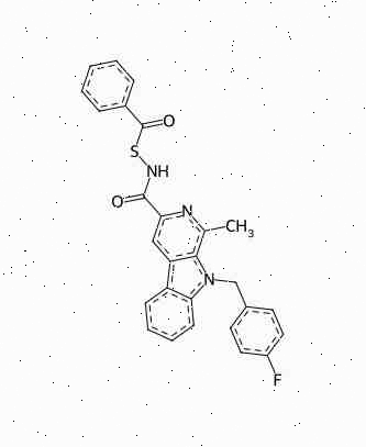 Cc1nc(C(=O)NSC(=O)c2ccccc2)cc2c3ccccc3n(Cc3ccc(F)cc3)c12